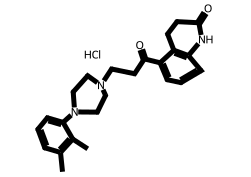 Cc1cccc(N2CCN(CCC(=O)c3cccc4c3CCC(=O)N4)CC2)c1C.Cl